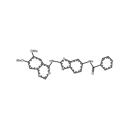 COc1cc2ncnc(Nc3nc4ccc(NC(=O)c5ccccc5)cc4s3)c2cc1OC